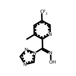 Cc1cc(C(F)(F)F)cnc1C(=NO)n1cncn1